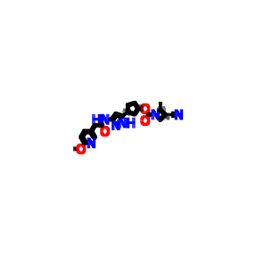 COc1ccc(CC(=O)Nc2cc([C@H]3CC[C@@H](OC(=O)N4C[C@@H](C#N)[C@@H]4C)C3)[nH]n2)cn1